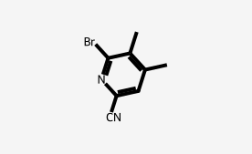 Cc1cc(C#N)nc(Br)c1C